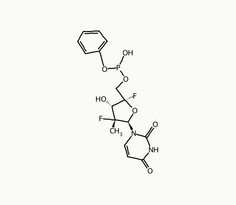 C[C@]1(F)[C@H](n2ccc(=O)[nH]c2=O)O[C@](F)(COP(O)Oc2ccccc2)[C@H]1O